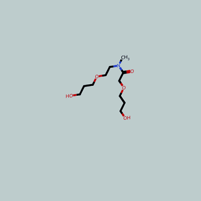 CN(CCOCCCO)C(=O)COCCCO